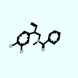 C=CC(CN(C)C(=O)c1ccccc1)c1ccc(Cl)c(Cl)c1